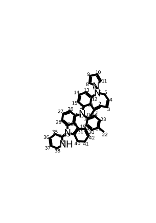 C/C1=C\C=C/CN(n2cccc2)C2=CC=CC(N(c3ccc(C)cc3)c3cccc4c3c3c(n4C4CC=CCN4)CCC=C3)C21